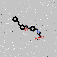 O=C(O)C1CN(Cc2ccc(-c3cc4cc(CCc5ccccc5)ccc4o3)cc2)C1